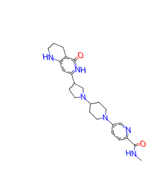 CNC(=O)c1ccc(N2CCC(N3CCC(c4cc5c(c(=O)[nH]4)CCCN5)C3)CC2)cn1